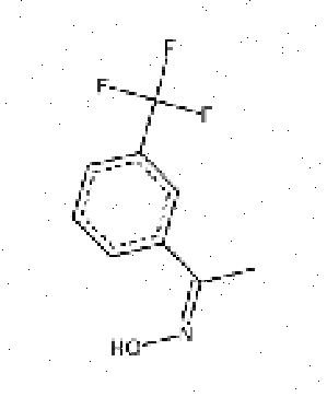 C/C(=N/O)c1cccc(C(F)(F)F)c1